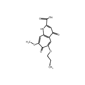 CCCOc1cc2c(=O)cc(C(=O)O)[nH]c2cc(OC)c1=O